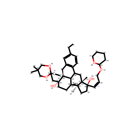 CCc1ccc2c(c1)C[C@]13CCC4(C[C@]1(O)CC[C@@H]1C3C2C[C@@]2(C)[C@H]1CC[C@@]2(O)/C=C\COC1CCCCO1)OCC(C)(C)CO4